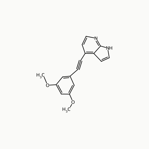 COc1cc(C#Cc2ccnc3[nH]ccc23)cc(OC)c1